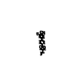 CC=C[C@H]1CO[C@H]([C@H]2CC[C@H](c3ccc(C#N)c(F)c3)CC2)OC1